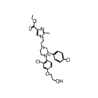 CCOC(=O)c1cn(CCN2CCN(c3ccc(OCCO)cc3Cl)[C@H](c3ccc(Cl)cc3)C2)c(C)n1